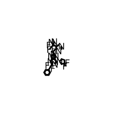 FC1(F)CCN(c2nc(C(F)(F)c3ccccc3)nc3nn(Cc4ncncc4C4(C(F)(F)F)N=N4)nc23)C1